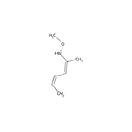 C/C=C\C=C(\C)NOC